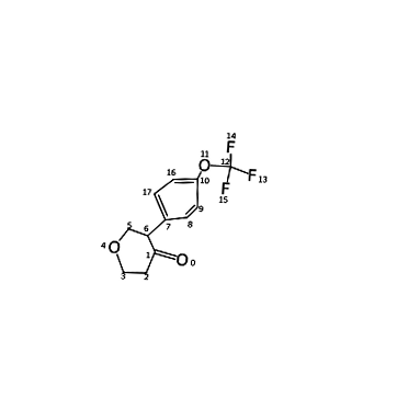 O=C1CCOCC1c1ccc(OC(F)(F)F)cc1